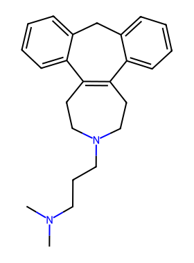 CN(C)CCCN1CCC2=C(CC1)c1ccccc1Cc1ccccc12